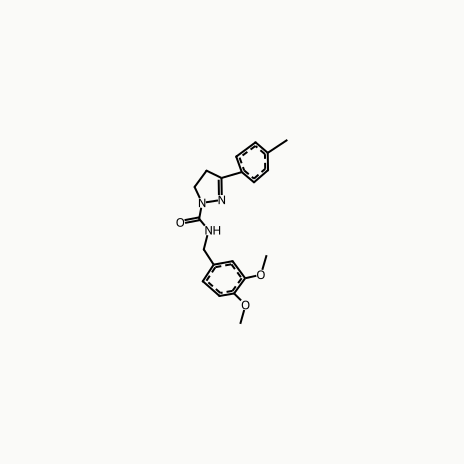 COc1ccc(CNC(=O)N2CCC(c3ccc(C)cc3)=N2)cc1OC